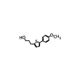 COc1ccc(-c2ccc(CCCO)s2)cc1